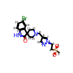 CS(=O)(=O)CCn1cc(CN2CCC3(CC2)C(=O)Nc2ccc(Br)cc23)cn1